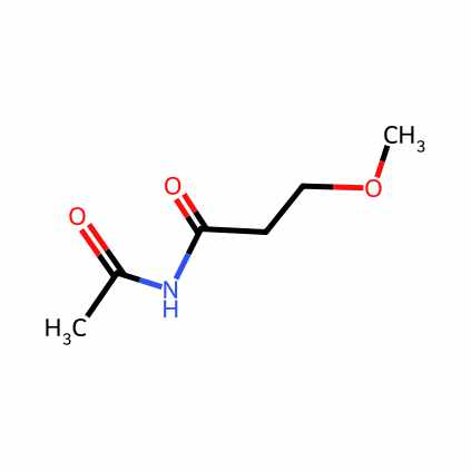 COCCC(=O)NC(C)=O